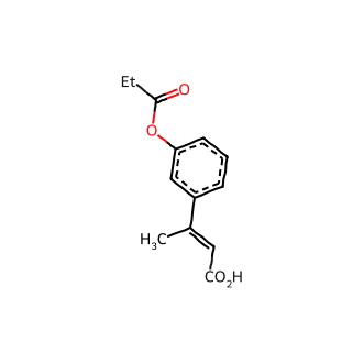 CCC(=O)Oc1cccc(C(C)=CC(=O)O)c1